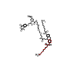 CN(CCOCCOCCOCCN(C)C(=O)[C@@H]1CC(N=[N+]=[N-])CN1C(=O)COc1ccc2c(=O)oc(=O)n(C)c2c1)C(=O)CCC12c3cc(NC(=O)CCCCCCCN)ccc3C(c3ccc(NC(=O)CCCCCCCN)cc31)c1ccc(NC(=O)CCCCCCCN)cc12